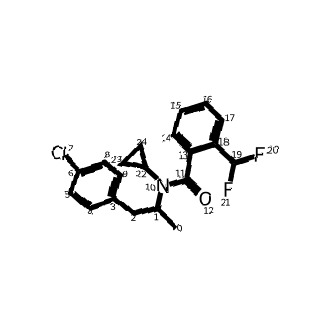 CC(Cc1ccc(Cl)cc1)N(C(=O)c1ccccc1C(F)F)C1CC1